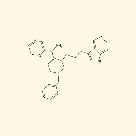 NC(C1=CN=CCO1)C1=CCC(Cc2ccccc2)CC1CCCc1c[nH]c2ccccc12